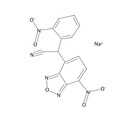 N#CC(c1ccccc1[N+](=O)[O-])c1ccc([N+](=O)[O-])c2nonc12.[Na+]